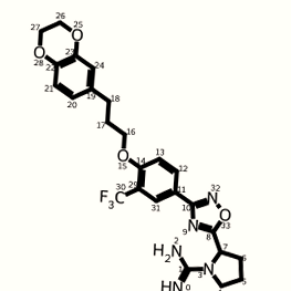 N=C(N)N1CCCC1c1nc(-c2ccc(OCCCc3ccc4c(c3)OCCO4)c(C(F)(F)F)c2)no1